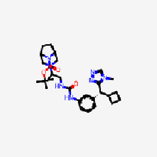 CC(CNC(=O)Nc1cccc([C@H](c2nncn2C)C2CCC2)c1)N1CC2CCC(C1)N2C(=O)OC(C)(C)C